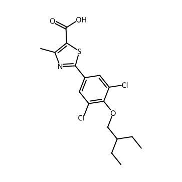 CCC(CC)COc1c(Cl)cc(-c2nc(C)c(C(=O)O)s2)cc1Cl